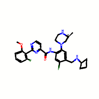 COc1cccc(F)c1-c1nccc(C(=O)Nc2cc(F)c(CNC3CCC3)cc2N2CCN[C@@H](C)C2)n1